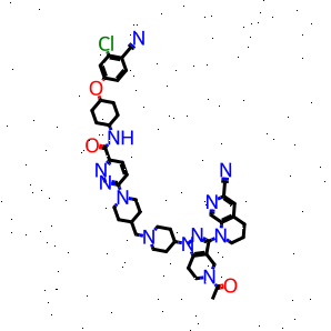 CC(=O)N1CCc2c(c(N3CCCc4cc(C#N)ncc43)nn2C2CCN(CC3CCN(c4ccc(C(=O)NC5CCC(Oc6ccc(C#N)c(Cl)c6)CC5)nn4)CC3)CC2)C1